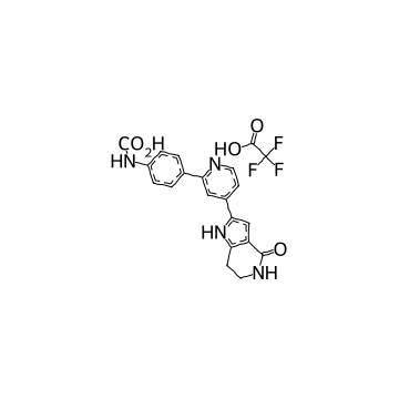 O=C(O)C(F)(F)F.O=C(O)Nc1ccc(-c2cc(-c3cc4c([nH]3)CCNC4=O)ccn2)cc1